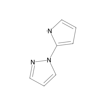 C1=C[N]C(n2cccn2)=C1